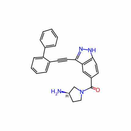 N[C@@H]1CCN(C(=O)c2ccc3[nH]nc(C#Cc4ccccc4-c4ccccc4)c3c2)C1